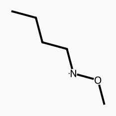 CCCC[N]OC